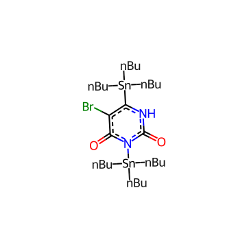 CCC[CH2][Sn]([CH2]CCC)([CH2]CCC)[c]1[nH]c(=O)[n]([Sn]([CH2]CCC)([CH2]CCC)[CH2]CCC)c(=O)c1Br